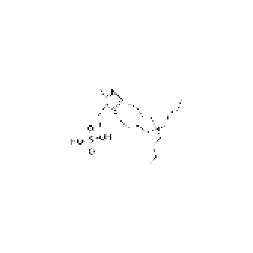 CCCC[N+](CCCC)(CCCC)CCCC.CCc1scnc1C.O=S(=O)(O)O